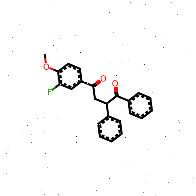 COc1ccc(C(=O)CC(C(=O)c2ccccc2)c2ccccc2)cc1F